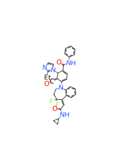 CCc1nccn1C1C(=C=O)C(N2CCC(F)(F)C(=CC(=O)NC3CC3)c3ccccc32)=CC=C1C(=O)Nc1ccccc1